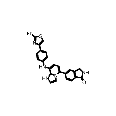 CCc1nc(-c2ccc(NC3=CC=C(c4ccc5c(c4)CNC5=O)N4C=CNC34)cc2)cs1